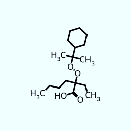 CCCCC(CC)(OOC(C)(C)C1CCCCC1)C(=O)O